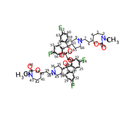 CN1CCCC(CCN2CCC(C(OC(=O)C(=O)OC(c3ccc(F)cc3)(c3ccc(F)cc3)C3CCN(CCC4CCCN(C)C(=O)O4)CC3)(c3ccc(F)cc3)c3ccc(F)cc3)CC2)OC1=O